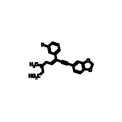 CN(C/C=C(/C#Cc1ccc2c(c1)OCO2)c1cccc(F)c1)CC(=O)O